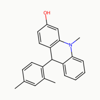 Cc1ccc(C2c3ccccc3N(C)c3cc(O)ccc32)c(C)c1